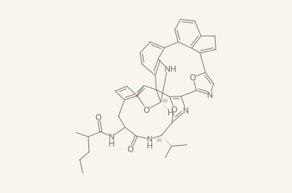 CCCC(C)C(=O)NC1Cc2ccc3c(c2)C24c5cccc(c5N[C@H]2O3)-c2cccc3c2C(=CC3)c2cnc(o2)-c2nc(oc24)[C@H](C(C)C)NC1=O